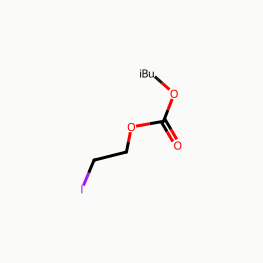 CCC(C)OC(=O)OCCI